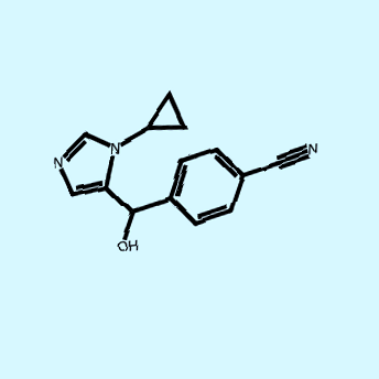 N#Cc1ccc(C(O)c2cncn2C2CC2)cc1